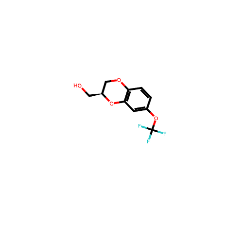 OC[C@H]1COc2ccc(OC(F)(F)F)cc2O1